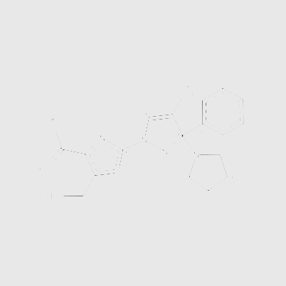 CCc1sc(N2C=C(C)C(c3ccccc3)(N3CCCC3)N2)nc1C(=O)O